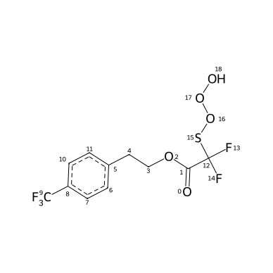 O=C(OCCc1ccc(C(F)(F)F)cc1)C(F)(F)SOOO